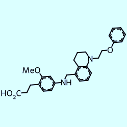 COc1cc(NCc2cccc3c2CCCN3CCOc2ccccc2)ccc1CCC(=O)O